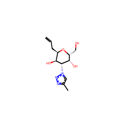 C=CC[C@H]1O[C@H](CO)[C@H](O)[C@H](n2cc(C)nn2)[C@H]1O